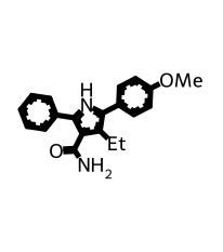 CCc1c(-c2ccc(OC)cc2)[nH]c(-c2ccccc2)c1C(N)=O